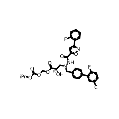 CC(C)OC(=O)OCOC(=O)[C@H](O)CN(Cc1ccc(-c2cc(Cl)ccc2F)cc1)NC(=O)c1cc(-c2ccccc2F)no1